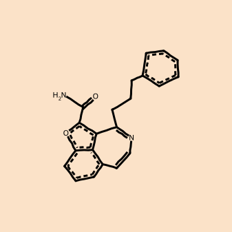 NC(=O)c1oc2cccc3c2c1C(CCCc1ccccc1)=NC=C3